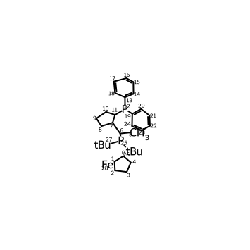 C1CCCC1.CC(C1CCCC1P(c1ccccc1)c1ccccc1)P(C(C)(C)C)C(C)(C)C.[Fe]